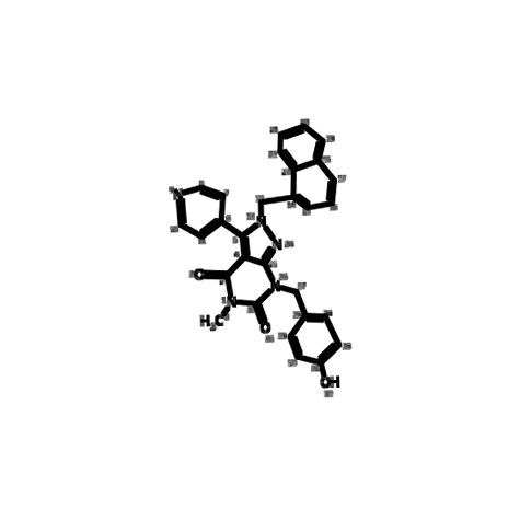 Cn1c(=O)c2c(-c3ccncc3)n(Cc3cccc4ccccc34)nc2n(Cc2ccc(O)cc2)c1=O